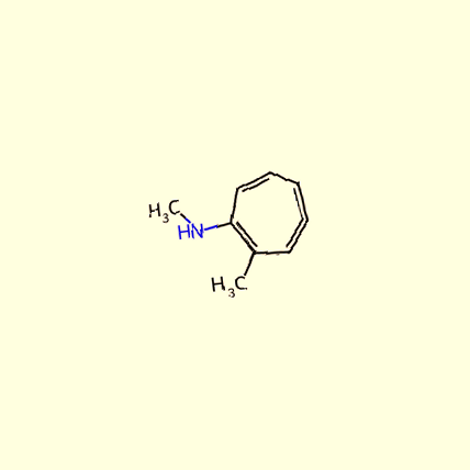 CNC1=C(C)C=C=CC=C1